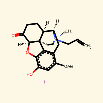 C=CC[N@@+]1(C)CC[C@]23c4c5c(OC)cc(O)c4O[C@H]2C(=O)CC[C@H]3[C@H]1C5.[I-]